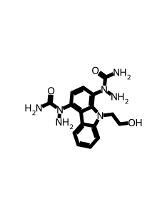 NC(=O)N(N)c1ccc(N(N)C(N)=O)c2c1c1ccccc1n2CCO